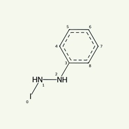 INNc1ccccc1